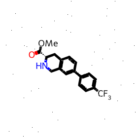 COC(=O)[C@@H]1Cc2ccc(-c3ccc(C(F)(F)F)cc3)cc2CN1